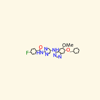 COc1cc2c(Nc3cnc(NC(=O)c4ccc(F)cc4)nc3)ncnc2cc1OCc1ccccc1